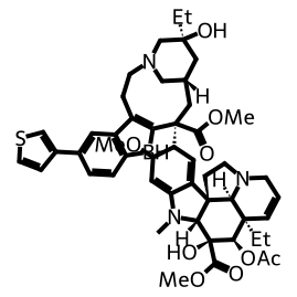 CC[C@]1(O)C[C@H]2CN(CCC3=C(Bc4ccc(-c5ccsc5)cc43)[C@@](C(=O)OC)(C3C=C4C(=CC3OC)N(C)[C@H]3[C@@](O)(C(=O)OC)[C@H](OC(C)=O)[C@]5(CC)C=CCN6CC[C@]43[C@@H]65)C2)C1